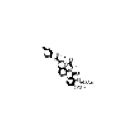 C=C/C=C\C(=C/C)O[C@@H](CC)[C@@H](Cc1ccccc1)[C@H](C)OC(=O)[C@H](C)NC(=O)c1nccc(OC)c1OCOC(C)=O